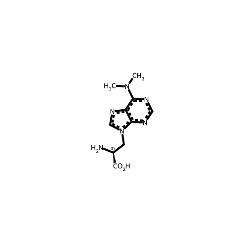 CN(C)c1ncnc2c1ncn2C[C@H](N)C(=O)O